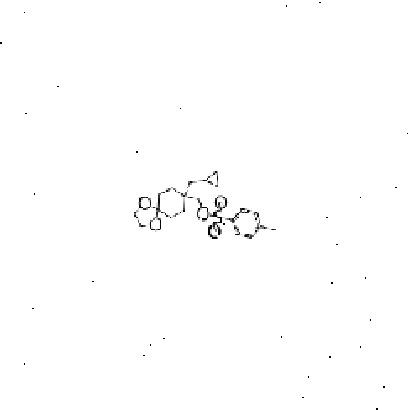 Cc1ccc(S(=O)(=O)OCC2(CC3CC3)CCC3(CC2)OCCO3)cc1